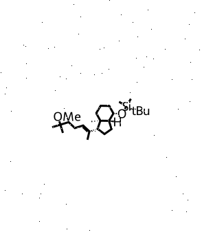 COC(C)(C)CCC=C(C)[C@H]1CC[C@H]2[C@@H](O[Si](C)(C)C(C)(C)C)CCC[C@]12C